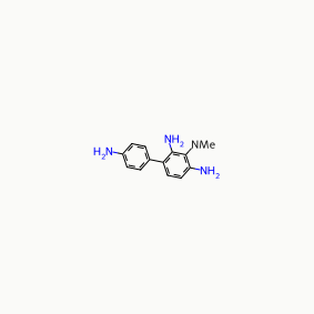 CNc1c(N)ccc(-c2ccc(N)cc2)c1N